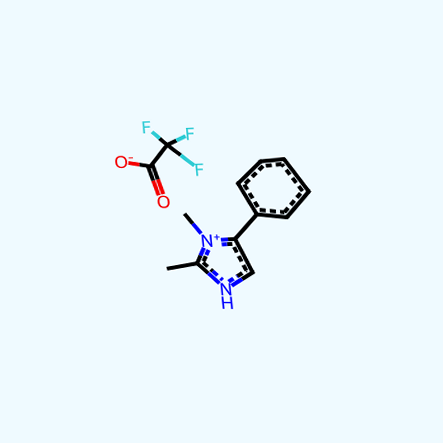 Cc1[nH]cc(-c2ccccc2)[n+]1C.O=C([O-])C(F)(F)F